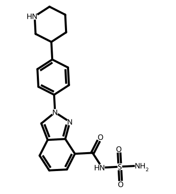 NS(=O)(=O)NC(=O)c1cccc2cn(-c3ccc(C4CCCNC4)cc3)nc12